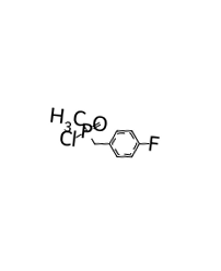 CP(=O)(Cl)Cc1ccc(F)cc1